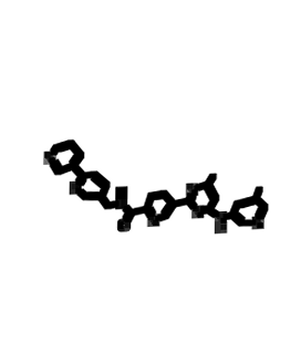 Cc1cncc(Nc2cc(C)nc(-c3ccc(C(=O)NCc4ccc(-c5cccnc5)nc4)nc3)n2)c1